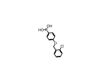 OB(O)c1ccc(OCc2ccccc2Cl)cc1